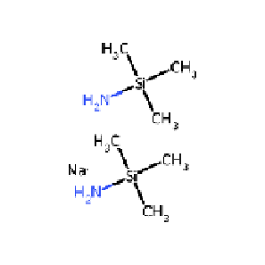 C[Si](C)(C)N.C[Si](C)(C)N.[Na]